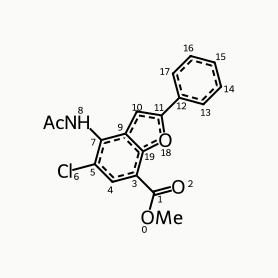 COC(=O)c1cc(Cl)c(NC(C)=O)c2cc(-c3ccccc3)oc12